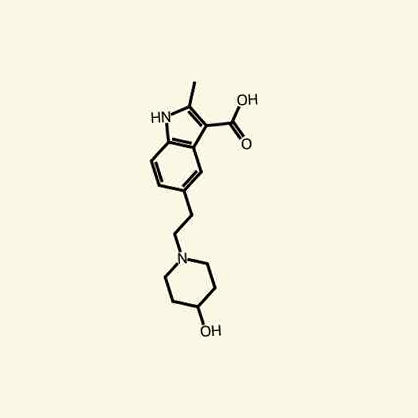 Cc1[nH]c2ccc(CCN3CCC(O)CC3)cc2c1C(=O)O